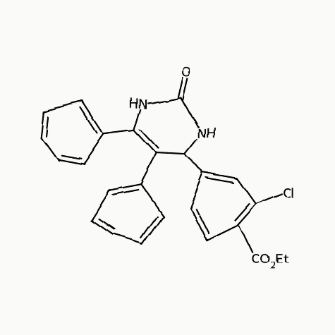 CCOC(=O)c1ccc(C2NC(=O)NC(c3ccccc3)=C2c2ccccc2)cc1Cl